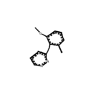 COc1cccc(C)c1-c1cccnn1